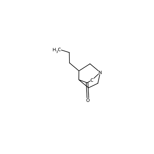 CCCC1CN2CCC1C(=O)C2